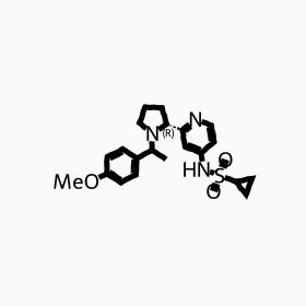 COc1ccc(C(C)N2CCC[C@@H]2c2cc(NS(=O)(=O)C3CC3)ccn2)cc1